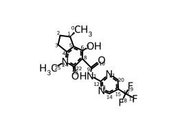 C[C@@H]1CCc2c1c(O)c(C(=O)Nc1ncc(C(F)(F)F)cn1)c(=O)n2C